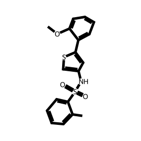 COc1ccccc1-c1cc(NS(=O)(=O)c2ccccc2C)cs1